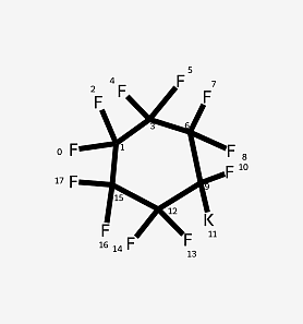 FC1(F)C(F)(F)C(F)(F)[C](F)([K])C(F)(F)C1(F)F